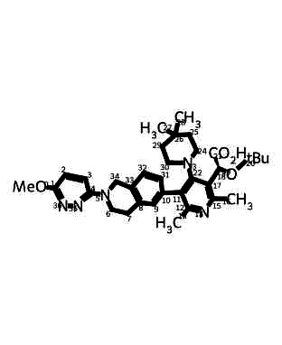 COc1ccc(N2CCc3cc(-c4c(C)nc(C)c([C@H](OC(C)(C)C)C(=O)O)c4N4CCC(C)(C)CC4)ccc3C2)nn1